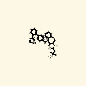 CC(C)(N)CC(=O)N[C@@H]1CSc2ccccc2N(Cc2ccc(-c3ccccc3-c3c[nH]cn3)cc2)C1=O